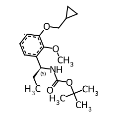 CC[C@H](NC(=O)OC(C)(C)C)c1cc[c]c(OCC2CC2)c1OC